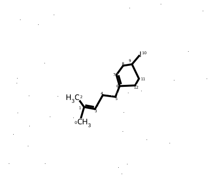 CC(C)=CCCC1=CCC(I)CC1